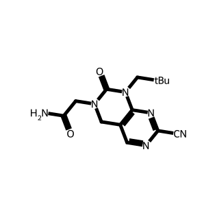 CC(C)(C)CN1C(=O)N(CC(N)=O)Cc2cnc(C#N)nc21